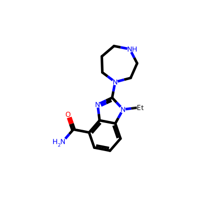 CCn1c(N2CCCNCC2)nc2c(C(N)=O)cccc21